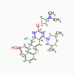 CC1CCC(C)CN(c2nc(O[C@H]3C[C@H](N(C)C)C3)nc3c(F)c(-c4cc(O)cc5ccccc45)c(Cl)cc23)C1